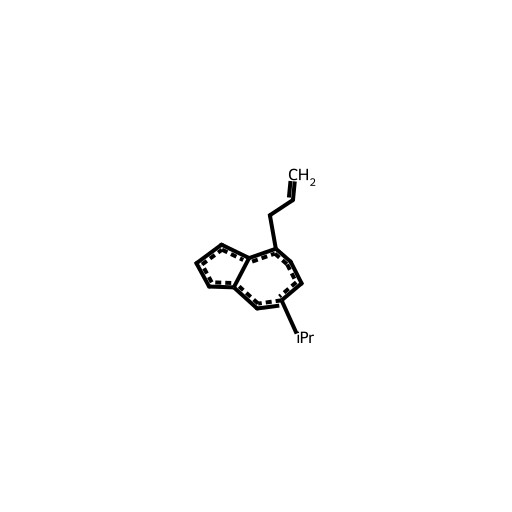 C=CCc1ccc(C(C)C)cc2cccc1-2